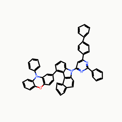 c1ccc(-c2ccc(-c3cc(-n4c5cccc(-c6ccc7c(c6)N(c6ccccc6)c6ccccc6O7)c5c5c6ccccc6ccc54)nc(-c4ccccc4)n3)cc2)cc1